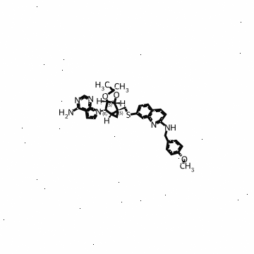 COc1ccc(CNc2ccc3ccc(SC[C@@]45C[C@@H]4[C@@H](n4ccc6c(N)ncnc64)[C@@H]4OC(C)(C)O[C@@H]45)cc3n2)cc1